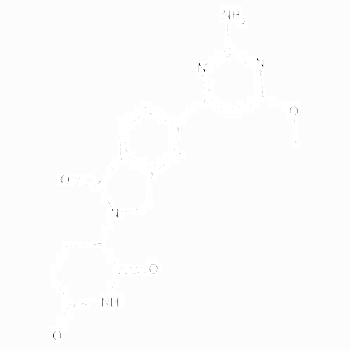 COc1cc(-c2ccc3c(c2)CN(C2CCC(=O)NC2=O)C3=O)nc(N)n1